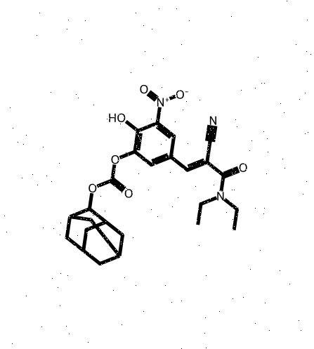 CCN(CC)C(=O)/C(C#N)=C/c1cc(OC(=O)OC2C3CC4CC(C3)CC2C4)c(O)c([N+](=O)[O-])c1